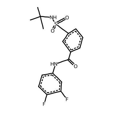 CC(C)(C)NS(=O)(=O)c1cccc(C(=O)Nc2ccc(F)c(F)c2)c1